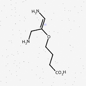 N/C=C(\CN)OCCCC(=O)O